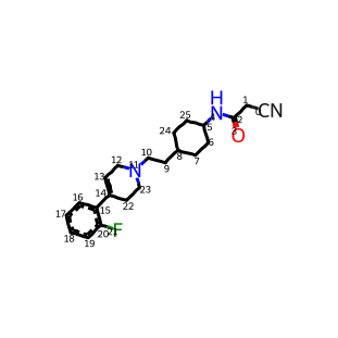 N#CCC(=O)NC1CCC(CCN2CC=C(c3ccccc3F)CC2)CC1